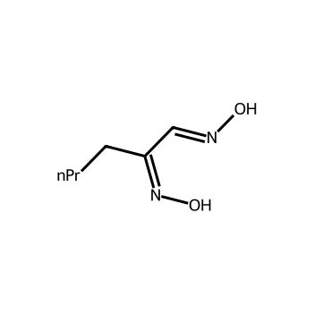 CCCCC(C=NO)=NO